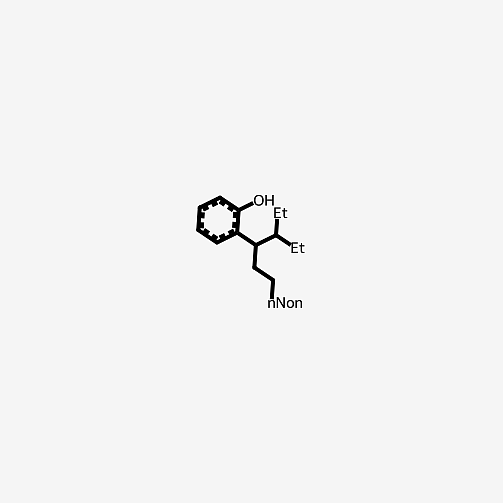 CCCCCCCCCCCC(c1ccccc1O)C(CC)CC